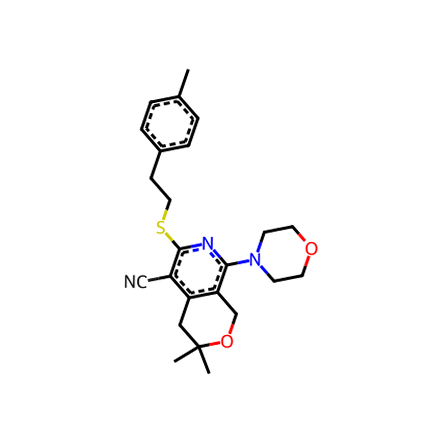 Cc1ccc(CCSc2nc(N3CCOCC3)c3c(c2C#N)CC(C)(C)OC3)cc1